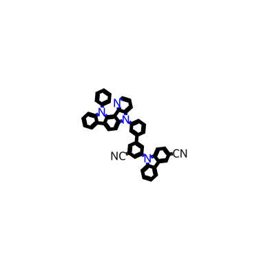 N#Cc1cc(-c2cccc(-n3c4cccnc4c4c3ccc3c5ccccc5n(-c5ccccc5)c34)c2)cc(-n2c3ccccc3c3cc(C#N)ccc32)c1